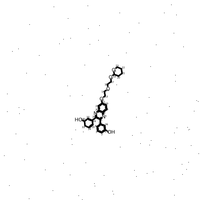 Oc1cccc(-c2nc3ccc(OCCOCCOC4CCCCO4)cc3nc2C2=CC(O)CC=C2)c1